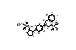 CCCS(=O)(=O)NC1CCCC1c1ccc(N(CCS(C)(=O)=O)Cc2ccccc2)cc1